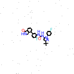 CC(C)(C)c1cc(NC(=O)Nc2cc(-c3cccc4c3CNC4=O)ccc2F)n(-c2ccc(F)cc2)n1